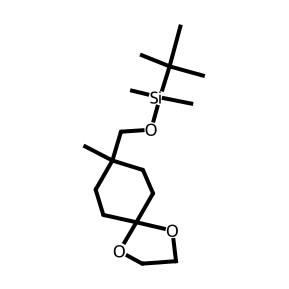 CC1(CO[Si](C)(C)C(C)(C)C)CCC2(CC1)OCCO2